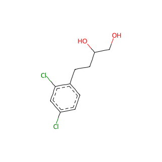 OCC(O)CCc1ccc(Cl)cc1Cl